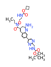 CCCN(OCCNC(=O)OC1CCC1)C(=O)C1=Cc2ccc(-c3cnc(CNC(=O)OC(C)(C)C)nc3)cc2N=C(N)C1